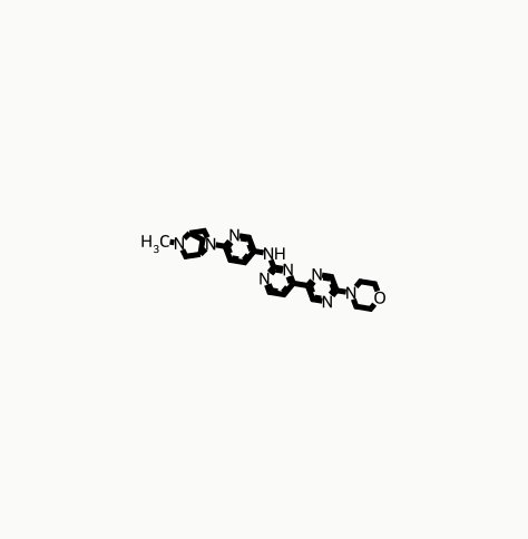 CN1CC2CC1CN2c1ccc(Nc2nccc(-c3cnc(N4CCOCC4)cn3)n2)cn1